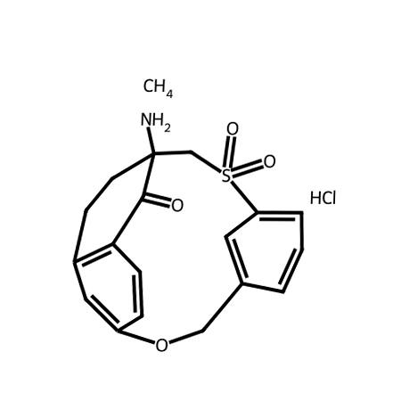 C.Cl.NC12CCc3cc(ccc3C1=O)OCc1cccc(c1)S(=O)(=O)C2